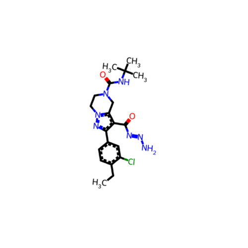 CCc1ccc(-c2nn3c(c2C(=O)N=NN)CN(C(=O)NC(C)(C)C)CC3)cc1Cl